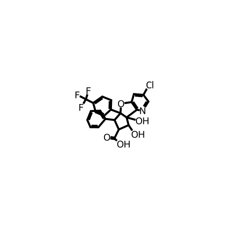 O=C(O)C1C(O)C2(O)c3ncc(Cl)cc3OC2(c2ccc(C(F)(F)F)cc2)C1c1ccccc1